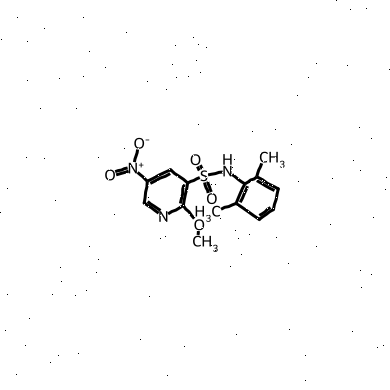 COc1ncc([N+](=O)[O-])cc1S(=O)(=O)Nc1c(C)cccc1C